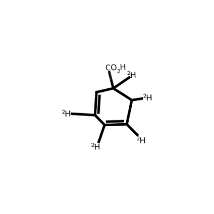 [2H]C1=CC([2H])(C(=O)O)C([2H])C([2H])=C1[2H]